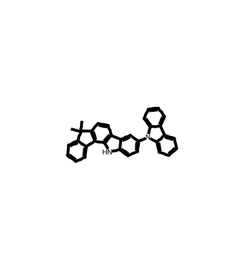 CC1(C)c2ccccc2-c2c1ccc1c2[nH]c2ccc(-n3c4ccccc4c4ccccc43)cc21